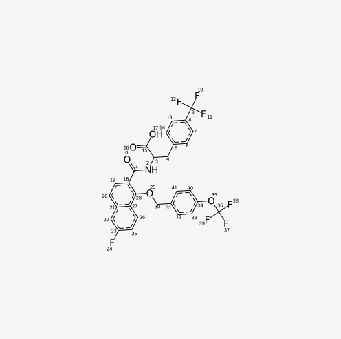 O=C(NC(Cc1ccc(C(F)(F)F)cc1)C(=O)O)c1ccc2cc(F)ccc2c1OCc1ccc(OC(F)(F)F)cc1